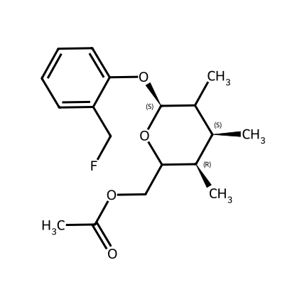 CC(=O)OCC1O[C@@H](Oc2ccccc2CF)C(C)[C@@H](C)[C@H]1C